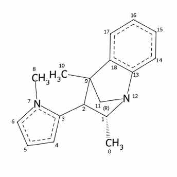 C[C@@H]1C(c2cccn2C)C2(C)CN1c1ccccc12